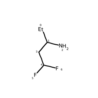 CCC(N)CC(F)F